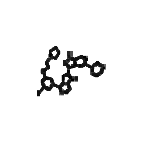 Fc1cc(OCCN2CCCC2)cc(-c2nccc3[nH]c(-c4n[nH]c5cnc(-c6cccnc6)cc45)cc23)c1